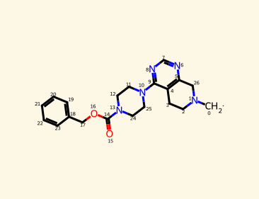 [CH2]N1CCc2c(ncnc2N2CCN(C(=O)OCc3ccccc3)CC2)C1